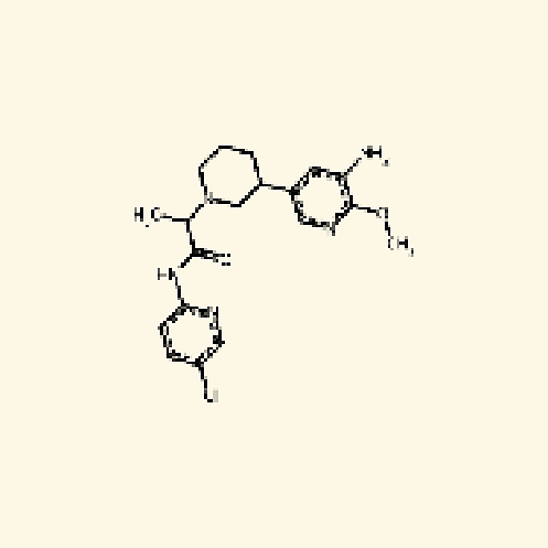 COc1ncc(C2CCCN(C(C)C(=O)Nc3ccc(Cl)cn3)C2)cc1N